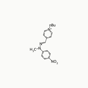 CCCC[n+]1ccc(C=NN(C)c2ccc([N+](=O)[O-])cc2)cc1